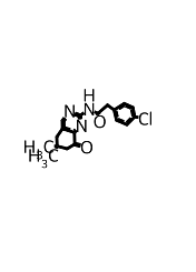 CC1(C)CC(=O)c2nc(NC(=O)Cc3ccc(Cl)cc3)ncc2C1